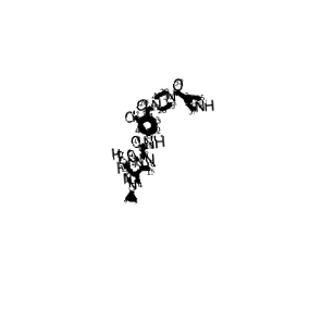 Cn1c(-c2cn(C3CC3)nc2C(F)(F)F)cnc1C(=O)Nc1ccc(C(=O)N2CCN(C(=O)C3C4CNCC43)CC2)c(Cl)c1